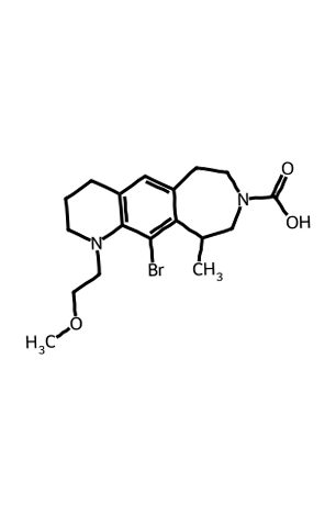 COCCN1CCCc2cc3c(c(Br)c21)C(C)CN(C(=O)O)CC3